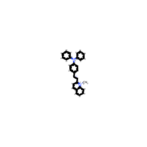 C[n+]1c(/C=C/c2ccc(N(c3ccccc3)c3ccccc3)cc2)ccc2ccccc21